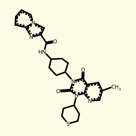 Cc1cnc2c(c1)c(=O)n(C1CCC(NC(=O)c3cn4ccccc4n3)CC1)c(=O)n2C1CCSCC1